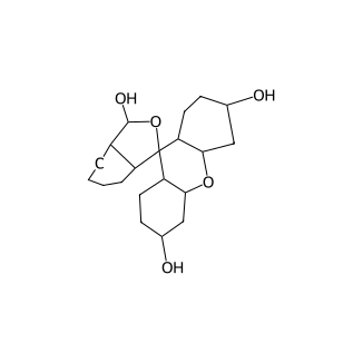 OC1CCC2C(C1)OC1CC(O)CCC1C21OC(O)C2CCCCC21